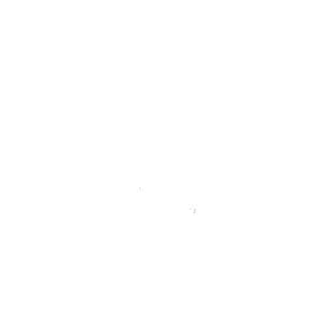 O=C(O)NC1CCN(Cc2ccc(-c3ccccc3)cc2)CC1